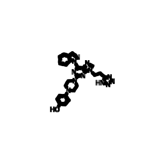 Oc1ccc(N2CCN(c3nc(-n4ncc5ccccc54)c4ncn(CCc5nnn[nH]5)c4n3)CC2)cc1